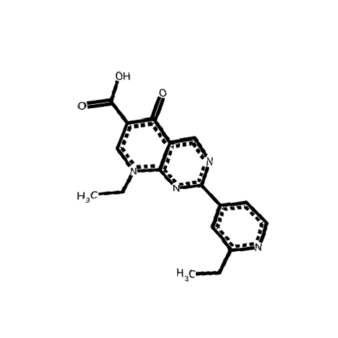 CCc1cc(-c2ncc3c(=O)c(C(=O)O)cn(CC)c3n2)ccn1